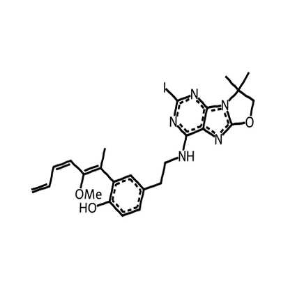 C=C/C=C\C(OC)=C(/C)c1cc(CCNc2nc(I)nc3c2nc2n3C(C)(C)CO2)ccc1O